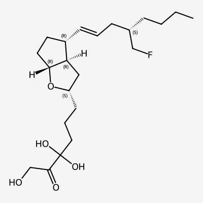 CCCC[C@H](CF)CC=C[C@H]1CC[C@H]2O[C@@H](CCCC(O)(O)C(=O)CO)C[C@H]12